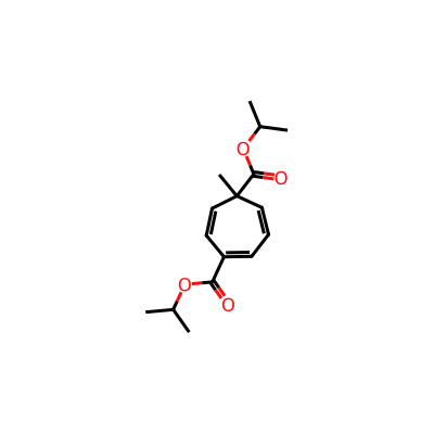 CC(C)OC(=O)C1=CC=CC(C)(C(=O)OC(C)C)C=C1